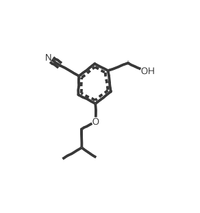 CC(C)COc1cc(C#N)cc([CH]O)c1